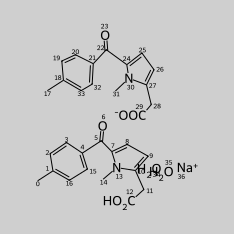 Cc1ccc(C(=O)c2ccc(CC(=O)O)n2C)cc1.Cc1ccc(C(=O)c2ccc(CC(=O)[O-])n2C)cc1.O.O.[Na+]